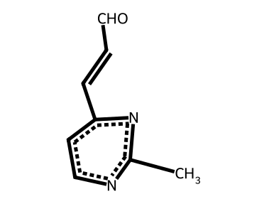 Cc1nccc(C=CC=O)n1